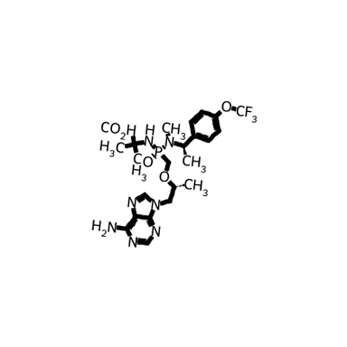 C[C@H](Cn1cnc2c(N)ncnc21)OCP(=O)(NC(C)(C)C(=O)O)N(C)[C@H](C)c1ccc(OC(F)(F)F)cc1